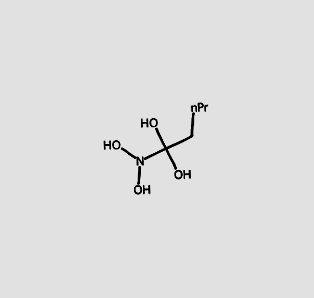 CCCCC(O)(O)N(O)O